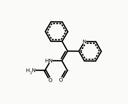 NC(=O)NC([C]=O)=C(c1ccccc1)c1ccccn1